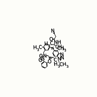 CC[C@@H]1CN(Cc2cc([C@@H](c3ccc4c(nnn4CC)c3C)C(C)(C)NC(=O)CC#N)ccc2C)S(=O)(=O)c2ccccc2O1